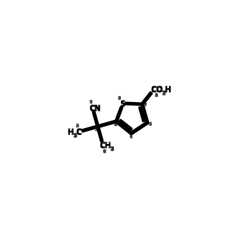 CC(C)(C#N)c1ccc(C(=O)O)s1